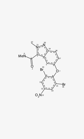 CNC(=O)c1c2cc(Oc3c(Br)cc([N+](=O)[O-])cc3Br)ccc2nn1C